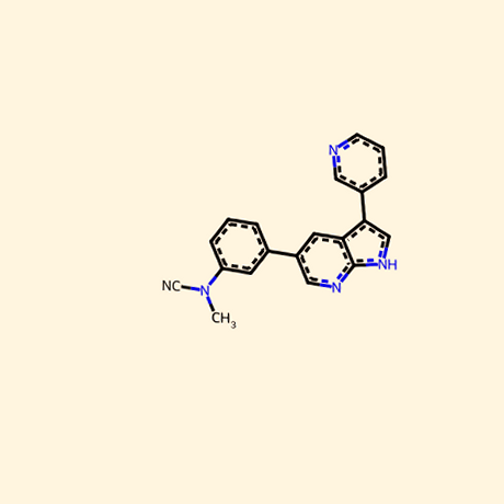 CN(C#N)c1cccc(-c2cnc3[nH]cc(-c4cccnc4)c3c2)c1